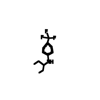 CCC(CC)Nc1ccc(C(F)(F)F)cc1